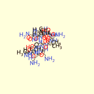 CC[C@H](C)[C@H](NC(=O)[C@H](CO)NC(=O)[C@H](CC(N)=O)NC(=O)[C@H](CC(C)C)NC(=O)[C@H](Cc1ccc(O)cc1)NC(=O)[C@H](CCCCN)NC(=O)[C@H](CCCCN)NC(=O)[C@@H](NC(=O)[C@H](C)N)C(C)C)C(=O)N[C@@H](CC(C)C)C(=O)N[C@@H](CC(N)=O)C(N)=O